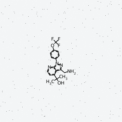 CC(C)(O)c1ccnc2c1c(CN)nn2-c1ccc(OC(F)(F)F)cc1